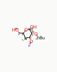 CCCCO[C@@H]1C(OI)[C@H](C)C(CO)O[C@H]1O